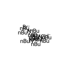 CCCC[N+](CCCC)(CCCC)CCCC.CCCC[N+](CCCC)(CCCC)CCCC.CCCC[N+](CCCC)(CCCC)CCCC.[Br-].[Cl-].[I-]